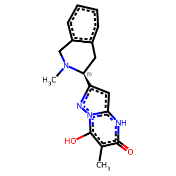 Cc1c(O)n2nc([C@@H]3Cc4ccccc4CN3C)cc2[nH]c1=O